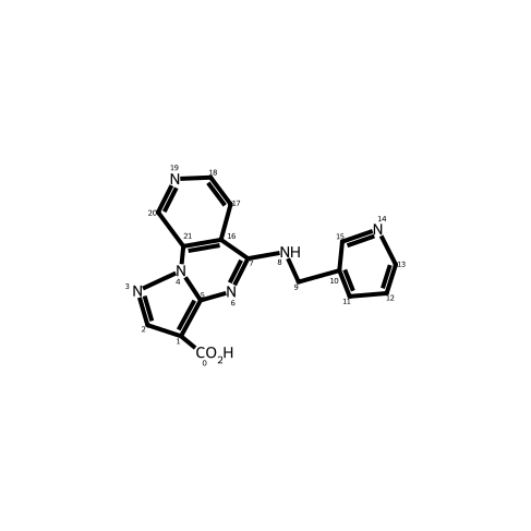 O=C(O)c1cnn2c1nc(NCc1cccnc1)c1ccncc12